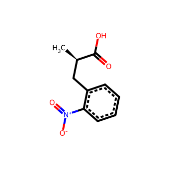 C[C@H](Cc1ccccc1[N+](=O)[O-])C(=O)O